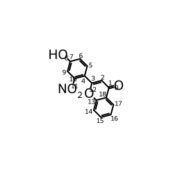 O=c1cc(-c2ccc(O)cc2[N+](=O)[O-])oc2ccccc12